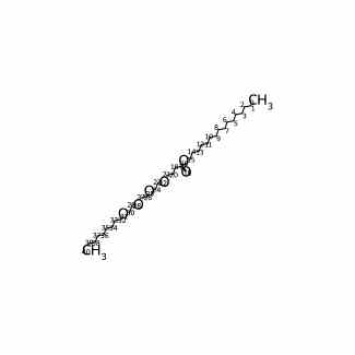 CCCCCCCCCCCCCCCCOC(=O)CCCOCCOCCOCCOCCCCCCCCC